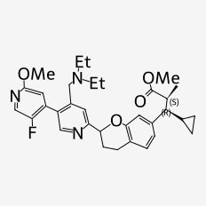 CCN(CC)Cc1cc(C2CCc3ccc([C@H](C4CC4)[C@H](C)C(=O)OC)cc3O2)ncc1-c1cc(OC)ncc1F